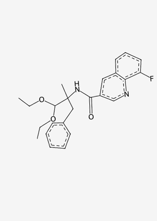 CCOC(OCC)C(C)(Cc1ccccc1)NC(=O)c1cnc2c(F)cccc2c1